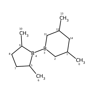 CC1CB(B2C(C)CCC2C)CC(C)C1